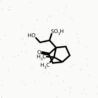 CC1(C)C2CCC1(C(CO)S(=O)(=O)O)C(=O)C2